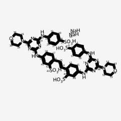 O=S(=O)(O)c1ccc(Nc2nc(Nc3ccc(C=Cc4ccc(Nc5nc(Nc6ccc(S(=O)(=O)O)cc6)nc(N6CCOCC6)n5)cc4S(=O)(=O)O)c(S(=O)(=O)O)c3)nc(N3CCOCC3)n2)cc1.[NaH].[NaH]